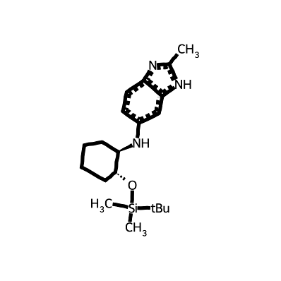 Cc1nc2ccc(N[C@@H]3CCCC[C@H]3O[Si](C)(C)C(C)(C)C)cc2[nH]1